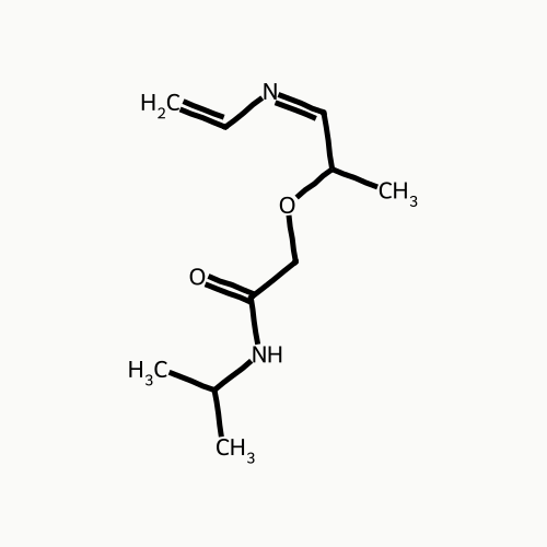 C=C/N=C\C(C)OCC(=O)NC(C)C